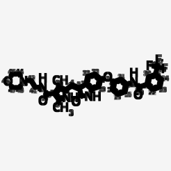 Cc1[nH]c(/C=C2\C(=O)Nc3cc(Oc4cccc(NC(=O)c5cccc(C(F)(F)F)c5)c4)ccc32)c(C)c1C(=O)NCCN1CCOCC1